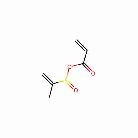 C=CC(=O)OS(=O)C(=C)C